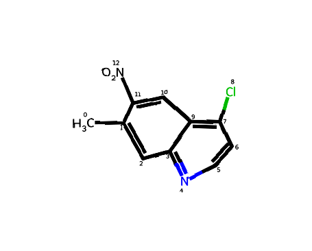 Cc1cc2nccc(Cl)c2cc1[N+](=O)[O-]